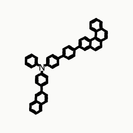 c1ccc(N(c2ccc(-c3ccc(-c4ccc5c(ccc6ccc7ccccc7c65)c4)cc3)cc2)c2ccc(-c3ccc4ccccc4c3)cc2)cc1